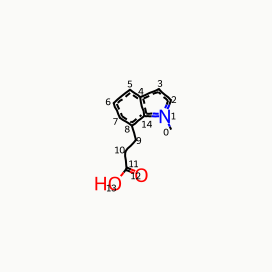 Cn1ccc2cccc(CCC(=O)O)c21